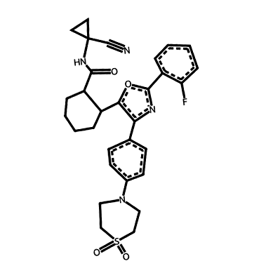 N#CC1(NC(=O)C2CCCCC2c2oc(-c3ccccc3F)nc2-c2ccc(N3CCS(=O)(=O)CC3)cc2)CC1